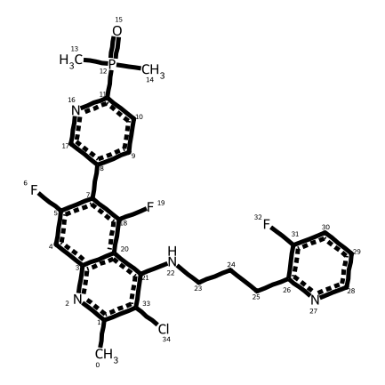 Cc1nc2cc(F)c(-c3ccc(P(C)(C)=O)nc3)c(F)c2c(NCCCc2ncccc2F)c1Cl